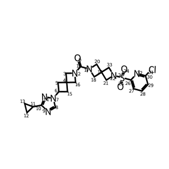 O=C(N1CC2(CC(n3cnc(C4CC4)n3)C2)C1)N1CC2(C1)CN(S(=O)(=O)c1cccc(Cl)n1)C2